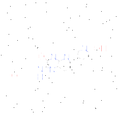 O=c1c(NCC2CCOCC2)nc2ccc(-c3ccc(O)nc3)nc2n1CC1CCCCC1